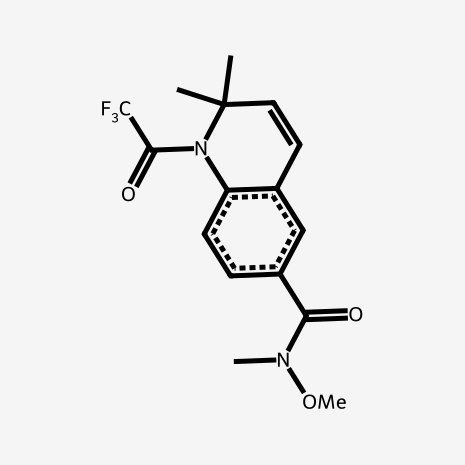 CON(C)C(=O)c1ccc2c(c1)C=CC(C)(C)N2C(=O)C(F)(F)F